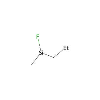 CCC[Si](C)F